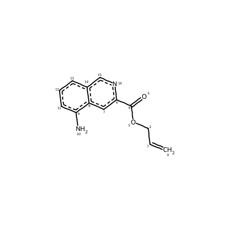 C=CCOC(=O)c1cc2c(N)cccc2cn1